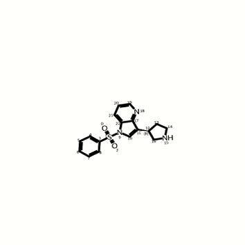 O=S(=O)(c1ccccc1)n1cc([C@H]2CCNC2)c2ncccc21